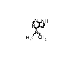 C=CN(CC)c1ncnc2[nH]ccc12